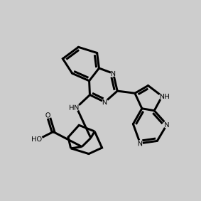 O=C(O)C1C2CCC(CC2)C1Nc1nc(-c2c[nH]c3ncncc23)nc2ccccc12